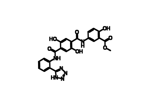 COC(=O)c1cc(NC(=O)c2cc(O)c(C(=O)Nc3ccccc3-c3nnn[nH]3)cc2O)ccc1O